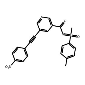 Cc1ccc(S(C)(=O)=NC(=O)c2cncc(C#Cc3ccc([N+](=O)[O-])cc3)c2)cc1